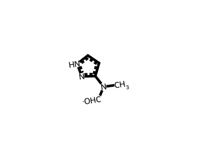 CN([C]=O)c1cc[nH]n1